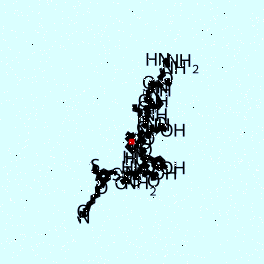 C=NOCCCCCCOc1cc(CSC)cc(CSC[C@H](NC(=O)[C@H](CCC(=O)O)NC(=O)C(Cc2ccc(O)cc2)NC(=O)[C@@H]2CCCN2C(=O)[C@H](CC(C)(C)C)NC(=O)[C@H](CC(=O)O)NC(=O)[C@H](CCCC)NC(=O)[C@@H]2CCCN2C(=O)[C@H](C)NC(=O)[C@H](CCCNC(=N)N)NC(C)=O)C(N)=O)c1